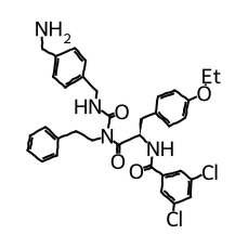 CCOc1ccc(C[C@@H](NC(=O)c2cc(Cl)cc(Cl)c2)C(=O)N(CCc2ccccc2)C(=O)NCc2ccc(CN)cc2)cc1